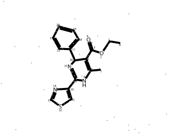 CCOC(=O)C1=C(C)NC(c2cscn2)=NC1c1ccccc1